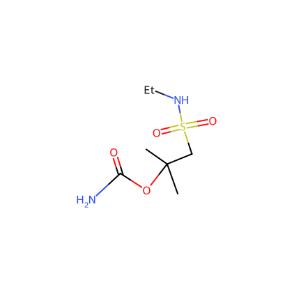 CCNS(=O)(=O)CC(C)(C)OC(N)=O